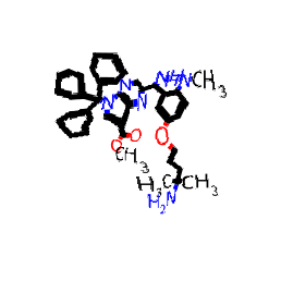 CNc1ccc(OCCCC(C)(C)N)cc1C(=N)c1cnc2c(n1)c(C(=O)OC)cn2C(c1ccccc1)(c1ccccc1)c1ccccc1